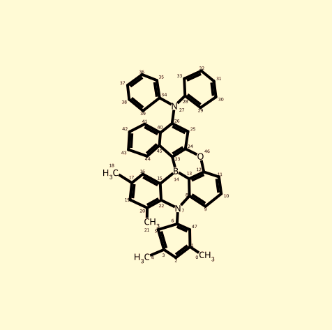 Cc1cc(C)cc(N2c3cccc4c3B(c3cc(C)cc(C)c32)c2c(cc(N(c3ccccc3)c3ccccc3)c3ccccc23)O4)c1